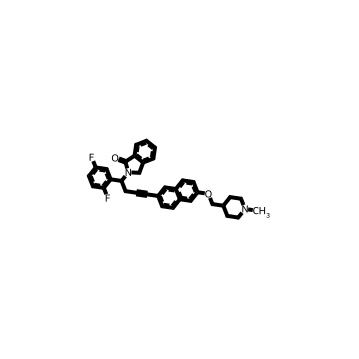 CN1CCC(COc2ccc3cc(C#CCC(c4cc(F)ccc4F)N4Cc5ccccc5C4=O)ccc3c2)CC1